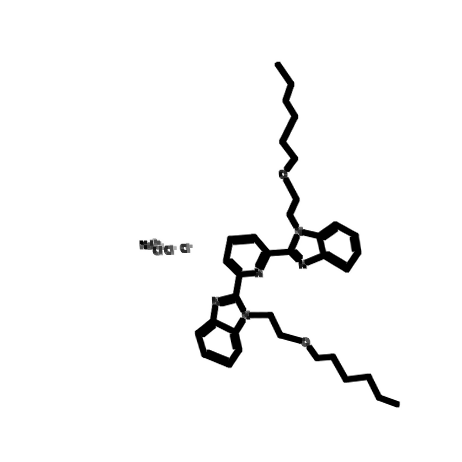 CCCCCCOCCn1c(-c2cccc(-c3nc4ccccc4n3CCOCCCCCC)n2)nc2ccccc21.[Cl-].[Cl-].[Cl-].[Nd+3]